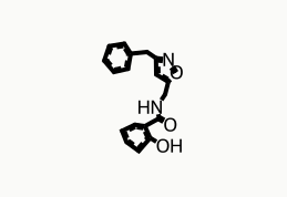 O=C(NCc1cc(Cc2ccccc2)no1)c1ccccc1O